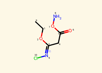 CCO/C(CC(=O)ON)=N\Cl